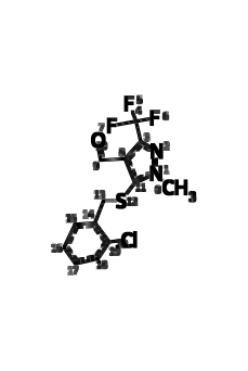 Cn1nc(C(F)(F)F)c(C=O)c1SCc1ccccc1Cl